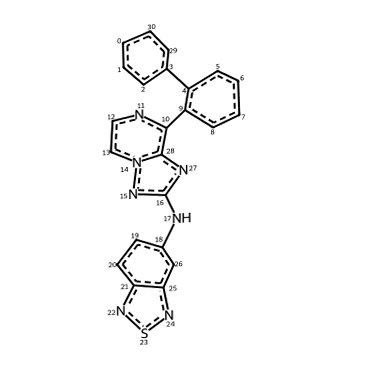 c1ccc(-c2ccccc2-c2nccn3nc(Nc4ccc5nsnc5c4)nc23)cc1